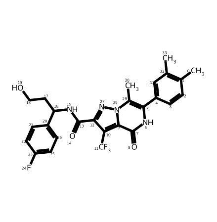 Cc1ccc(-c2[nH]c(=O)c3c(C(F)(F)F)c(C(=O)NC(CCO)c4ccc(F)cc4)nn3c2C)cc1C